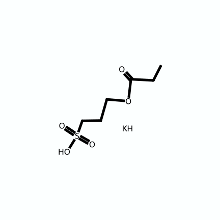 CCC(=O)OCCCS(=O)(=O)O.[KH]